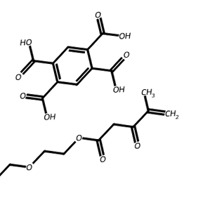 C=C(C)C(=O)CC(=O)OCCOCC.O=C(O)c1cc(C(=O)O)c(C(=O)O)cc1C(=O)O